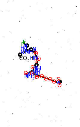 CC(C)C(NC(=O)CCOCCOCCOCCOCCN1C(=O)C=CC1=O)C(=O)N[C@@H](CCCNC(N)=O)C(=O)Nc1ccc(COC(=O)NCCOc2cnc3ccc(-c4[nH]c(CNc5cccc(C(=O)O)c5)nc4-c4cccc(C(F)F)n4)cc3c2)cc1